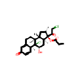 CCC(=O)O[C@]1(C(=O)CCl)[C@@H](C)C[C@H]2[C@@H]3CCC4=CC(=O)C=C[C@]4(C)[C@@]3(Cl)[C@@H](O)C[C@@]21C